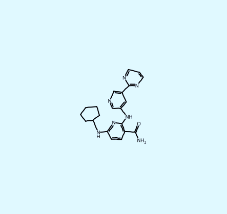 NC(=O)c1ccc(NC2CCCCC2)nc1Nc1cncc(-c2ncccn2)c1